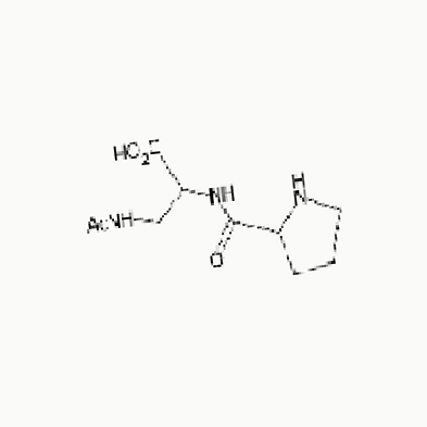 CC(=O)NCC(NC(=O)C1CCCN1)C(=O)O